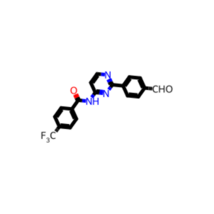 O=Cc1ccc(-c2nccc(NC(=O)c3ccc(C(F)(F)F)cc3)n2)cc1